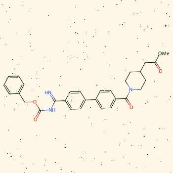 COC(=O)CC1CCN(C(=O)c2ccc(-c3ccc(C(=N)NC(=O)OCc4ccccc4)cc3)cc2)CC1